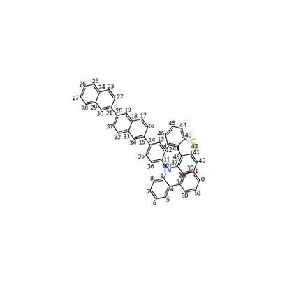 c1ccc(-c2ccccc2N(c2ccc(-c3ccc4cc(-c5ccc6ccccc6c5)ccc4c3)cc2)c2cccc3sc4ccccc4c23)cc1